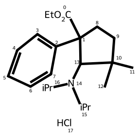 CCOC(=O)C1(c2ccccc2)CCC(C)(C)C1N(C(C)C)C(C)C.Cl